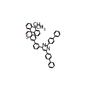 CC1(C)c2ccccc2C2(c3ccccc3Sc3cc(-c4cccc(-c5cc(-c6ccc(-c7ccccc7)cc6)nc(-c6ccc(-c7ccccc7)cc6)n5)c4)ccc32)c2ccccc21